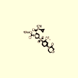 CC(C)(C)OC(=O)N1C[C@H](S(=O)(=O)c2ccc(N3CCOCC3=O)cc2C(F)(F)F)C[C@H]1C(=O)N(C#N)C1CC1